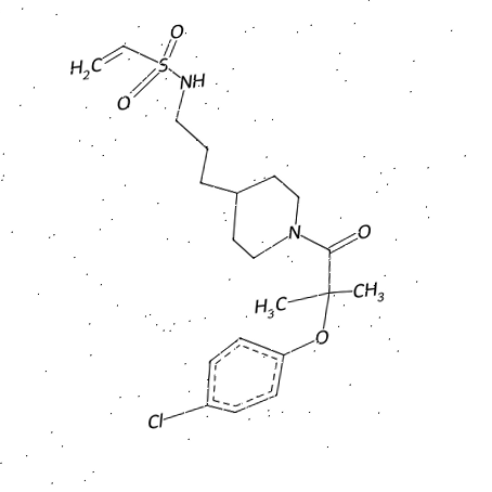 C=CS(=O)(=O)NCCCC1CCN(C(=O)C(C)(C)Oc2ccc(Cl)cc2)CC1